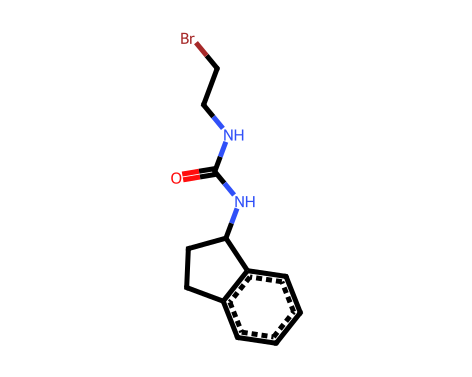 O=C(NCCBr)NC1CCc2ccccc21